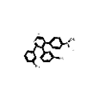 CN(C)c1ccc(-c2cc[s+]c(-c3cccc(N)c3)c2-c2cccc(N)c2)cc1.[Cl-]